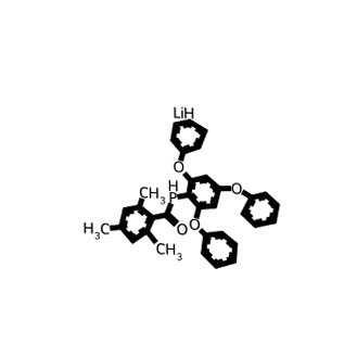 Cc1cc(C)c(C(=O)Pc2c(Oc3ccccc3)cc(Oc3ccccc3)cc2Oc2ccccc2)c(C)c1.[LiH]